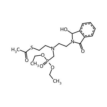 CCOP(=O)(CN(CCSC(C)=O)CCN1C(=O)c2ccccc2C1O)OCC